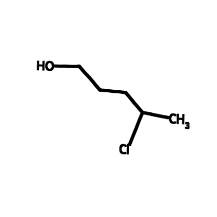 CC(Cl)CCCO